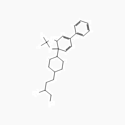 CCC(C)CCC1CCC(C2(OC(F)(F)F)C=CC(c3ccccc3)=CC2F)CC1